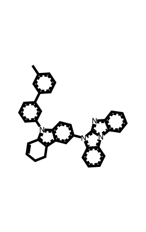 Cc1cccc(-c2cccc(-n3c4c(c5cc(-n6c7ccccc7n7c8ccccc8nc67)ccc53)CCC=C4)c2)c1